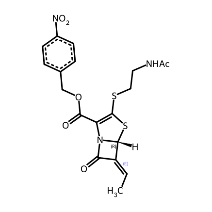 C/C=C1\C(=O)N2C(C(=O)OCc3ccc([N+](=O)[O-])cc3)=C(SCCNC(C)=O)S[C@H]12